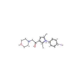 Cc1cc(C(=O)CN2CCOCC2)c(C)n1-c1ccc(I)cc1